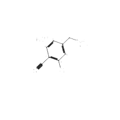 Cl.N#Cc1ccc(CN)cc1Cl